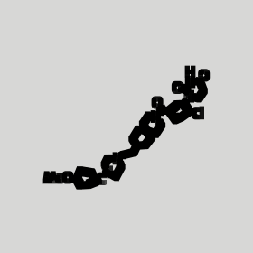 COc1ccc(CN2CCN(CCC3CCC4(CC3)CCN(C(=O)c3ccc(Cl)c(N5CCC(=O)NC5=O)c3)CC4)CC2)cc1